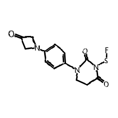 O=C1CN(c2ccc(N3CCC(=O)N(SF)C3=O)cc2)C1